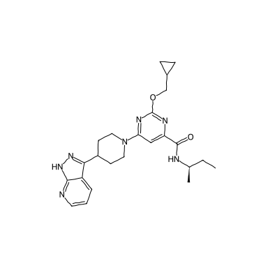 CC[C@@H](C)NC(=O)c1cc(N2CCC(c3n[nH]c4ncccc34)CC2)nc(OCC2CC2)n1